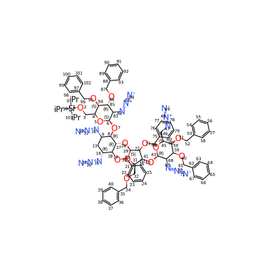 CC(C)[Si](OCC1O[C@H](O[C@@H]2C(N=[N+]=[N-])C[C@@H](N=[N+]=[N-])C(OCc3ccccc3)[C@H]2O[C@@H]2O[C@H](COCc3ccccc3)[C@H](O[C@H]3O[C@@H](CN=[N+]=[N-])[C@@H](OCc4ccccc4)C(OCc4ccccc4)C3N=[N+]=[N-])C2OCc2ccccc2)C(N=[N+]=[N-])[C@@H](OCc2ccccc2)[C@@H]1OCc1ccccc1)(C(C)C)C(C)C